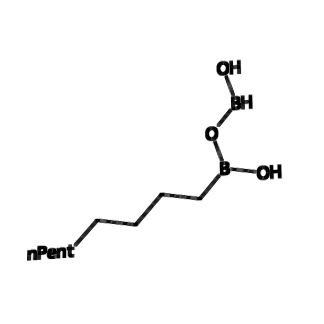 CCCCCCCCCB(O)OBO